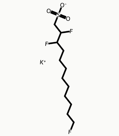 O=S(=O)([O-])CC(F)C(F)CCCCCCCCCF.[K+]